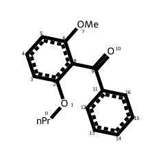 CCCOc1cccc(OC)c1C(=O)c1ccccc1